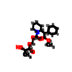 COC(=O)C(c1ccccc1)C1CCCCN1C(=O)OCOC(=O)C(C)O